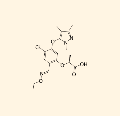 CCO/N=C/c1cc(Cl)c(Oc2c(C)c(C)nn2C)cc1O[C@@H](C)C(=O)O